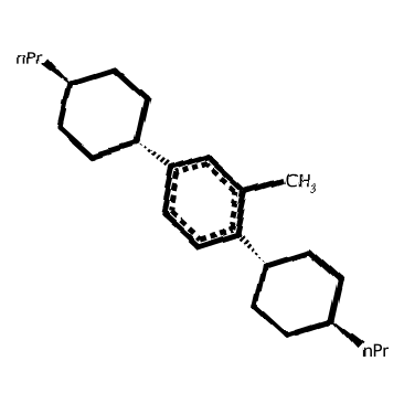 CCC[C@H]1CC[C@H](c2ccc([C@H]3CC[C@H](CCC)CC3)c(C)c2)CC1